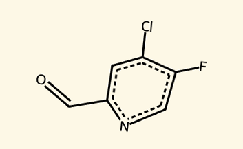 O=Cc1cc(Cl)c(F)cn1